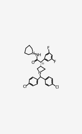 O=C(NN1CCCCC1)[C@H](c1cc(F)cc(F)c1)C1CN(C(c2ccc(Cl)cc2)c2ccc(Cl)cc2)C1